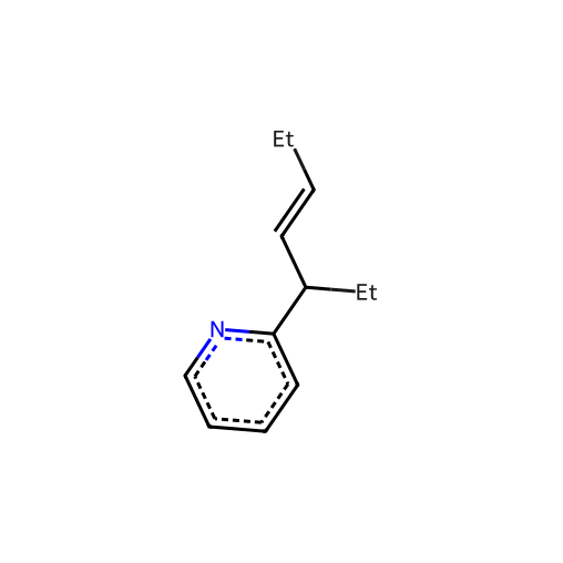 CC/C=C/C(CC)c1ccccn1